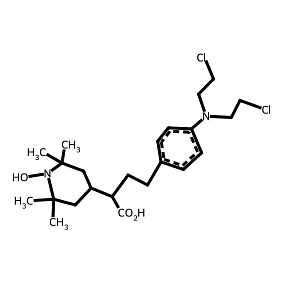 CC1(C)CC(C(CCc2ccc(N(CCCl)CCCl)cc2)C(=O)O)CC(C)(C)N1O